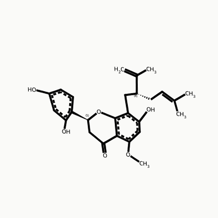 C=C(C)[C@H](CC=C(C)C)Cc1c(O)cc(OC)c2c1O[C@H](c1ccc(O)cc1O)CC2=O